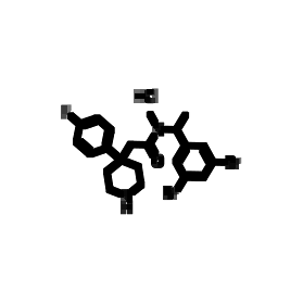 CC(c1cc(Br)cc(Br)c1)N(C)C(=O)CC1(c2ccc(F)cc2)CCNCC1.Cl